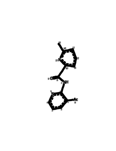 CC(=O)c1cccnc1NC(=O)c1cccc(C)n1